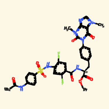 CC(C)OC(=O)[C@H](Cc1ccc(-n2c(=O)c3c(ncn3C)n(C)c2=O)cc1)NC(=O)c1cc(F)c(NS(=O)(=O)c2ccc(NC(=O)C(C)(C)C)cc2)cc1F